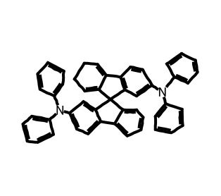 C1=C2C(=CCC1)C1(c3cc(N(c4ccccc4)c4ccccc4)ccc32)c2ccccc2-c2ccc(N(c3ccccc3)c3ccccc3)cc21